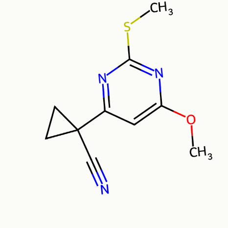 COc1cc(C2(C#N)CC2)nc(SC)n1